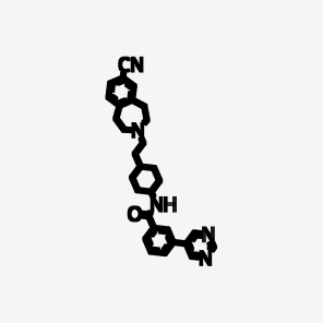 N#Cc1ccc2c(c1)CCN(CCC1CCC(NC(=O)c3cccc(-c4cncnc4)c3)CC1)CC2